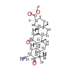 COC(=O)[C@@]1(C)CC[C@]2(C)CC[C@]3(C)C(=CC(=O)[C@@H]4[C@@]5(C)CC(C#N)C(=O)C(C)(C)[C@@H]5CC[C@]43C)[C@@H]2C1